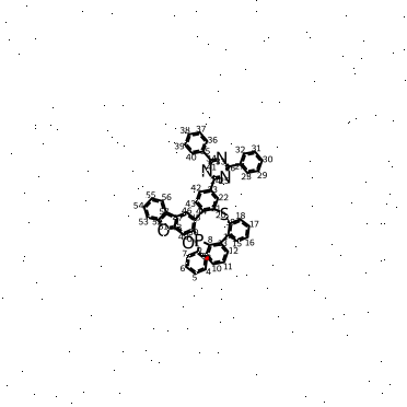 O=P1(c2ccccc2)c2ccccc2-c2ccccc2Sc2cc(-c3nc(-c4ccccc4)nc(-c4ccccc4)n3)ccc2-c2cc3c(cc21)oc1ccccc13